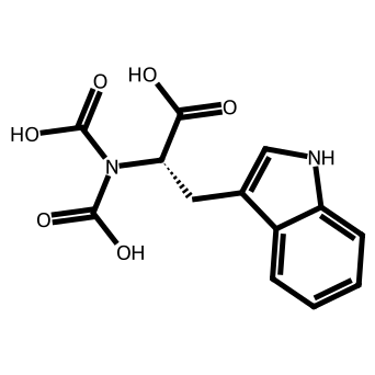 O=C(O)[C@H](Cc1c[nH]c2ccccc12)N(C(=O)O)C(=O)O